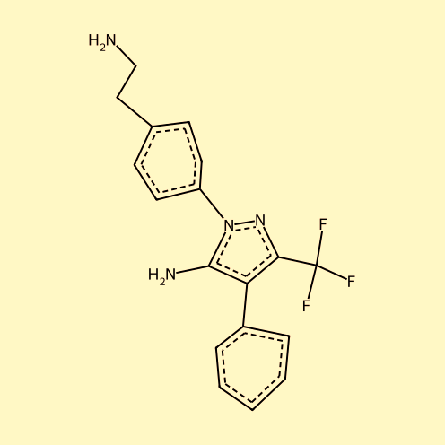 NCCc1ccc(-n2nc(C(F)(F)F)c(-c3ccccc3)c2N)cc1